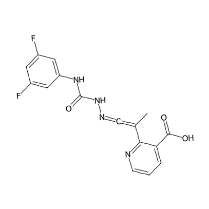 CC(=C=NNC(=O)Nc1cc(F)cc(F)c1)c1ncccc1C(=O)O